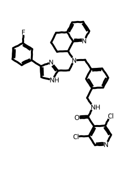 O=C(NCc1cccc(CN(Cc2nc(-c3cccc(F)c3)c[nH]2)C2CCCc3cccnc32)c1)c1c(Cl)cncc1Cl